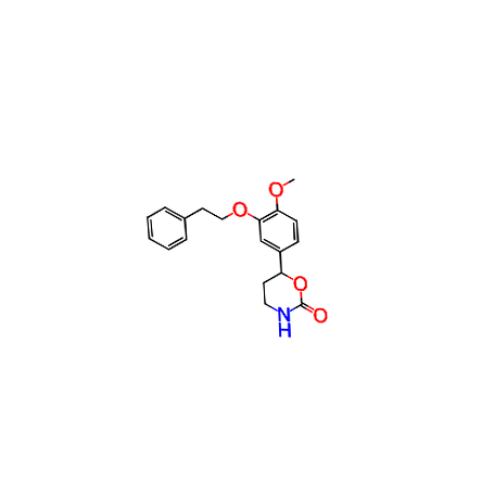 COc1ccc(C2CCNC(=O)O2)cc1OCCc1ccccc1